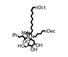 CCCCCCCC/C=C\CCCCCCCC(=O)N(CCCCCCCCCCCCCC)[C@@]1(NC(=O)[C@@H](N)CC(C)C)C[C@@H](O)[C@H](O)[C@@H](CO)O1